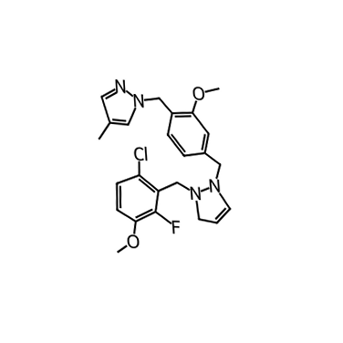 COc1cc(CN2C=CCN2Cc2c(Cl)ccc(OC)c2F)ccc1Cn1cc(C)cn1